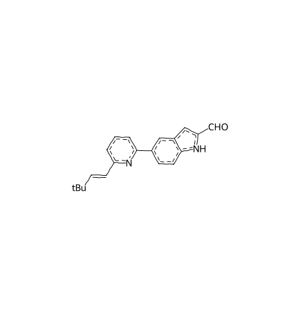 CC(C)(C)/C=C/c1cccc(-c2ccc3[nH]c(C=O)cc3c2)n1